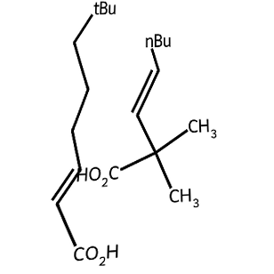 CC(C)(C)CCC/C=C/C(=O)O.CCCC/C=C/C(C)(C)C(=O)O